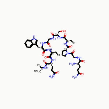 CC(C)C[C@H](NC(=O)[C@H](Cc1c[nH]c2ccccc12)NC(=O)CNC(=O)[C@H](CO)NC(=O)[C@H](CC(C)C)NC(=O)[C@@H]1CCCN1C(=O)CNC(=O)[C@@H](N)CCC(N)=O)C(=O)N[C@@H](CCC(N)=O)C(=O)N[C@H](C(=O)O)C(C)C